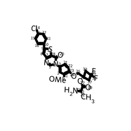 COc1cc(-n2cnc3cc(-c4ccc(Cl)cc4)sc3c2=O)ccc1OCC1(OC(=O)[C@H](C)N)CC(F)(F)C1